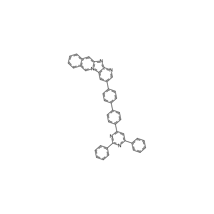 c1ccc(-c2cc(-c3ccc(-c4ccc(-c5cnc6nc7cc8ccccc8cn7c6c5)cc4)cc3)nc(-c3ccccc3)n2)cc1